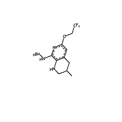 CCCCNc1nc(OCC(F)(F)F)cc2c1NCC(C)C2